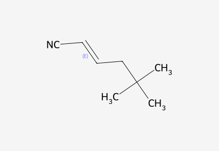 CC(C)(C)C/C=C/C#N